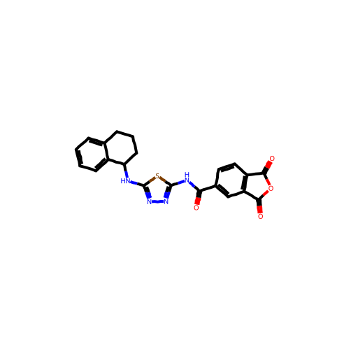 O=C(Nc1nnc(NC2CCCc3ccccc32)s1)c1ccc2c(c1)C(=O)OC2=O